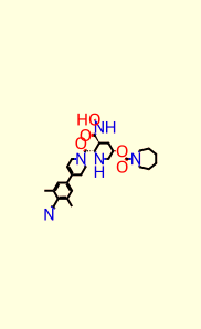 Cc1cc(C2=CCN(C(=O)[C@H]3NC[C@@H](OC(=O)N4CCCCCC4)C[C@@H]3C(=O)NO)CC2)cc(C)c1C#N